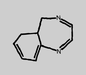 C1=CCC2CN=CC=NC2=C1